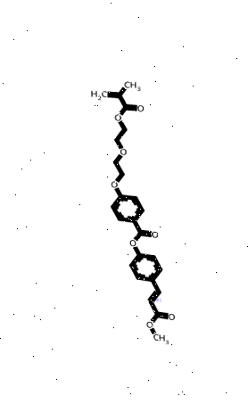 C=C(C)C(=O)OCCOCCOc1ccc(C(=O)Oc2ccc(/C=C/C(=O)OC)cc2)cc1